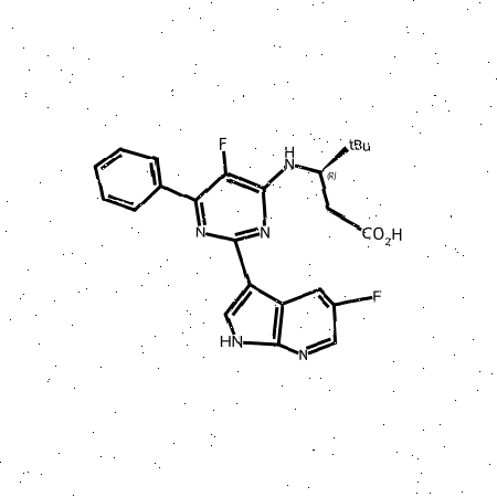 CC(C)(C)[C@@H](CC(=O)O)Nc1nc(-c2c[nH]c3ncc(F)cc23)nc(-c2ccccc2)c1F